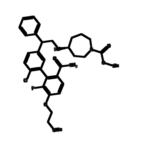 COCCOc1ccc(C(N)=O)c(-c2cc(C(CN[C@H]3CCCN(C(=O)OC(C)(C)C)CC3)c3ccccc3)ccc2Cl)c1F